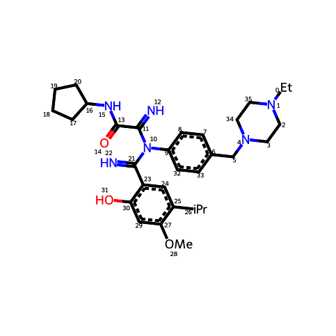 CCN1CCN(Cc2ccc(N(C(=N)C(=O)NC3CCCC3)C(=N)c3cc(C(C)C)c(OC)cc3O)cc2)CC1